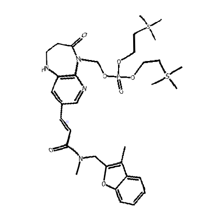 Cc1c(CN(C)C(=O)/C=C/c2cnc3c(c2)NCCC(=O)N3COP(=O)(OCCS(C)(C)C)OCCS(C)(C)C)oc2ccccc12